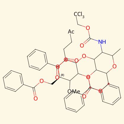 COC(C(OC(=O)c1ccccc1)C(OC(=O)c1ccccc1)OC1C(NC(=O)OCC(Cl)(Cl)Cl)C(C)OC2COC(c3ccccc3)OC21)[C@@H](COC(=O)c1ccccc1)OC(=O)CCC(C)=O